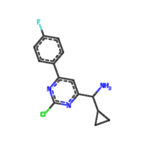 NC(c1cc(-c2ccc(F)cc2)nc(Cl)n1)C1CC1